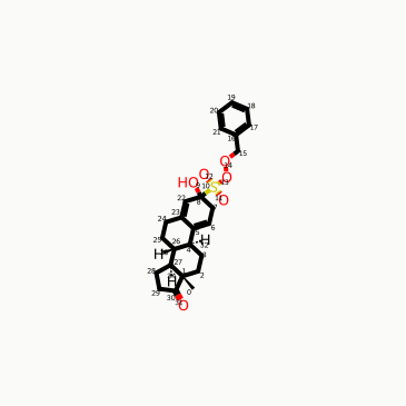 C[C@]12CC[C@@H]3C4=CCC(O)(S(=O)(=O)OOCc5ccccc5)C=C4CC[C@H]3[C@@H]1CCC2=O